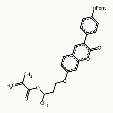 C=C(C)C(=O)OC(C)CCOc1ccc2cc(-c3ccc(CCCCC)cc3)c(=O)oc2c1